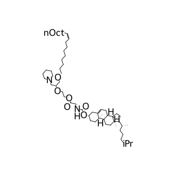 CCCCCCCC/C=C\CCCCCCCCOCC(CN1CCCCC1)OCCOC(=O)CNC(=O)O[C@H]1CC[C@@]2(C)C(=CC[C@H]3[C@@H]4CC[C@H]([C@H](C)CCCC(C)C)[C@@]4(C)CC[C@@H]32)C1